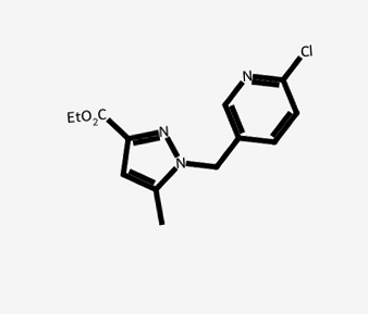 CCOC(=O)c1cc(C)n(Cc2ccc(Cl)nc2)n1